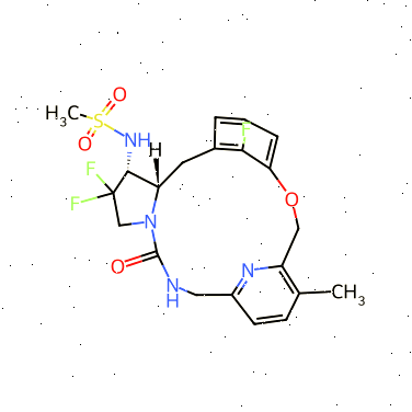 Cc1ccc2nc1COc1cccc(c1F)C[C@H]1[C@@H](NS(C)(=O)=O)C(F)(F)CN1C(=O)NC2